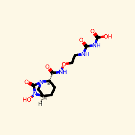 O=C(O)NC(=O)NCCONC(=O)[C@@H]1CC[C@@H]2CN1C(=O)N2O